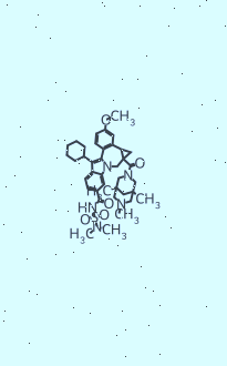 COc1ccc2c(c1)C1CC1(C(=O)N1CC3(C)CN(C)CC(C)(C1)C3)Cn1c-2c(C2CCCCC2)c2ccc(C(=O)NS(=O)(=O)N(C)C)cc21